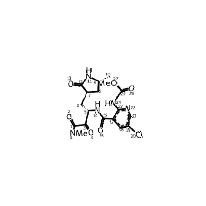 CNC(=O)C(=O)[C@H](C[C@@H]1C[C@@H](C)NC1=O)NC(=O)c1cc(Cl)cnc1NC(=O)OC